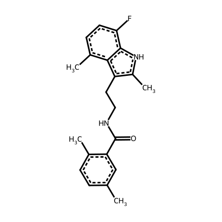 Cc1ccc(C)c(C(=O)NCCc2c(C)[nH]c3c(F)ccc(C)c23)c1